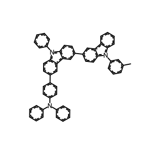 Cc1cccc(-n2c3ccccc3c3cc(-c4ccc5c(c4)c4cc(-c6ccc(N(c7ccccc7)c7ccccc7)cc6)ccc4n5-c4ccccc4)ccc32)c1